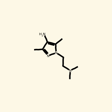 Cc1nn(CCN(C)C)c(C)c1N